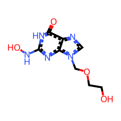 O=c1[nH]c(NO)nc2c1ncn2COCCO